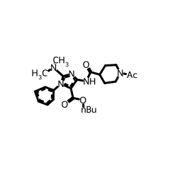 CCCCOC(=O)c1c(NC(=O)C2CCN(C(C)=O)CC2)nc(N(C)C)n1-c1ccccc1